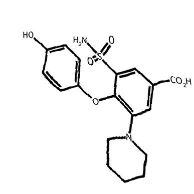 NS(=O)(=O)c1cc(C(=O)O)cc(N2CCCCC2)c1Oc1ccc(O)cc1